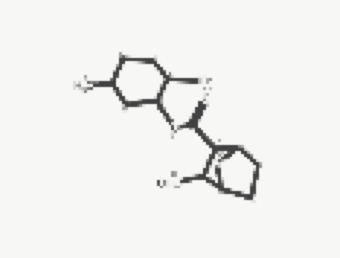 CC1CCC(C(C)C)C(OC(=O)C2C3CCC(O3)C2C=O)C1